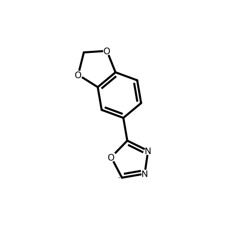 [c]1nnc(-c2ccc3c(c2)OCO3)o1